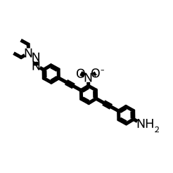 CCN(CC)N=Nc1ccc(C#Cc2ccc(C#Cc3ccc(N)cc3)cc2[N+](=O)[O-])cc1